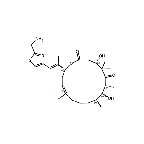 CC(=Cc1csc(CN)n1)[C@@H]1C/C=C(/C)CCC[C@H](C)[C@H](O)[C@@H](C)C(=O)C(C)(C)[C@@H](O)CC(=O)O1